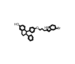 Oc1ccc2c(c1)CCC(c1ccccc1)C2c1ccc(OCCCc2cc3cc(Br)ccc3[nH]2)cc1